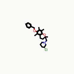 Cc1c(C)c2c(c(C)c1OCc1ccccc1)CCC(C)(CN1CCC[C@@H](Cl)C1)O2